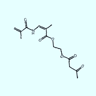 C=C(C)C(=O)NC=C(C)C(=O)OCCOC(=O)CC(C)=O